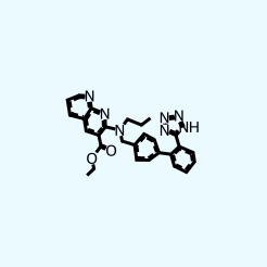 CCCN(Cc1ccc(-c2ccccc2-c2nnn[nH]2)cc1)c1nc2ncccc2cc1C(=O)OCC